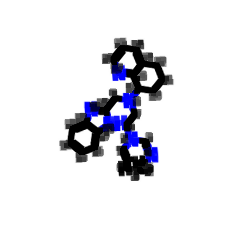 C=CN(/C=N\C)CCN(Cc1nc2ccccc2[nH]1)C1CCCc2cccnc21